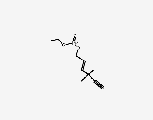 C#CC(C)(C)C=CCO[PH](=O)OCC